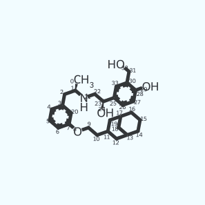 C[C@H](Cc1cccc(OCCC2CC3CCCC(C3)C2)c1)NC[C@H](O)c1ccc(O)c(CO)c1